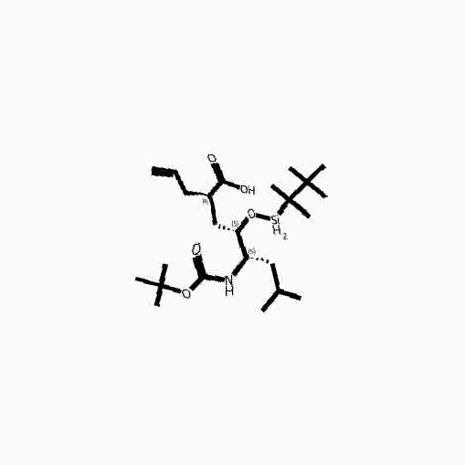 C=CC[C@H](C[C@H](O[SiH2]C(C)(C)C(C)(C)C)[C@H](CC(C)C)NC(=O)OC(C)(C)C)C(=O)O